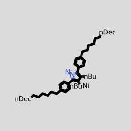 CCCCCCCCCCCCCCCCc1ccc(C2=C(CCCC)C(CCCC)=C(c3ccc(CCCCCCCCCCCCCCCC)cc3)[N+]2=[N-])cc1.[Ni]